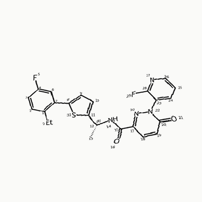 CCc1ccc(F)cc1-c1ccc([C@@H](C)NC(=O)c2ccc(=O)n(-c3cccnc3F)n2)s1